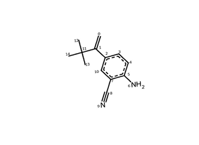 C=C(c1ccc(N)c(C#N)c1)C(C)(C)C